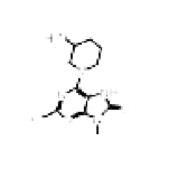 Cn1c(=O)[nH]c2c(N3CCCC(N)C3)nc(Cl)nc21